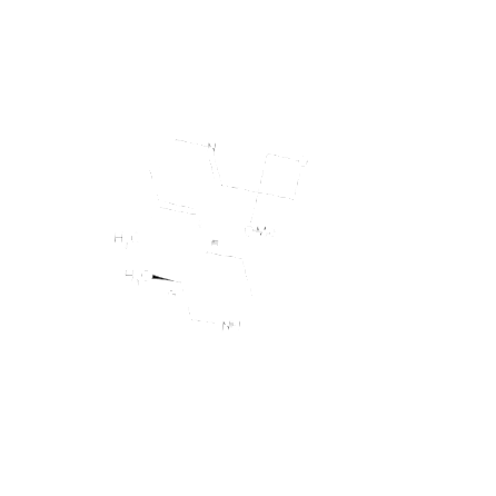 COC1(c2nccc(C)c2[C@@H]2CCNC[C@H]2C)COC1